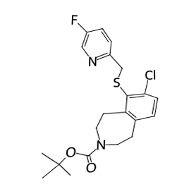 CC(C)(C)OC(=O)N1CCc2ccc(Cl)c(SCc3ccc(F)cn3)c2CC1